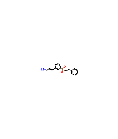 NC/C=C/c1cccc(S(=O)(=O)CCc2ccccc2)c1